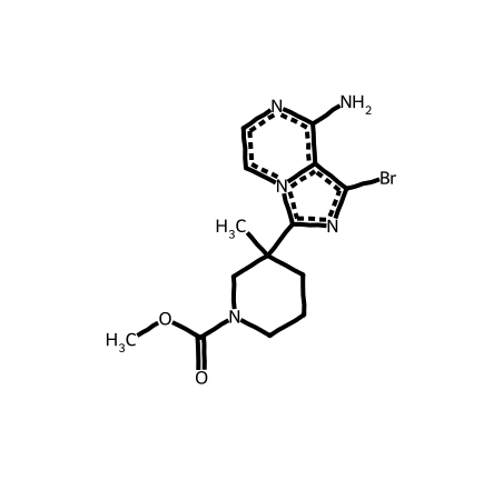 COC(=O)N1CCCC(C)(c2nc(Br)c3c(N)nccn23)C1